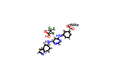 CNS(=O)(=O)c1cccc(Nc2cc(Nc3ccc4ncsc4c3)ncn2)c1.O=C(O)C(F)(F)F